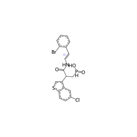 O=C(N/C=C/c1ccccc1Br)C(C[PH](=O)O)c1csc2ccc(Cl)cc12